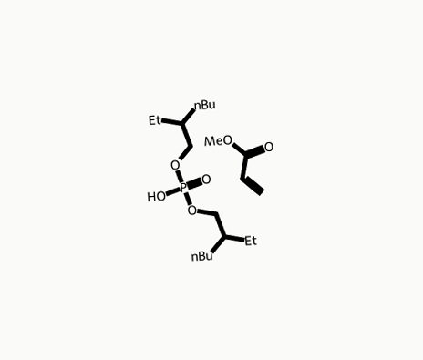 C=CC(=O)OC.CCCCC(CC)COP(=O)(O)OCC(CC)CCCC